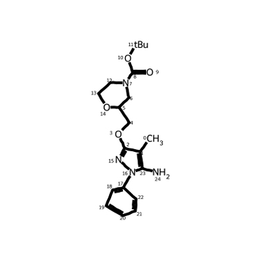 Cc1c(OCC2CN(C(=O)OC(C)(C)C)CCO2)nn(-c2ccccc2)c1N